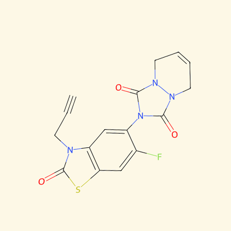 C#CCn1c(=O)sc2cc(F)c(-n3c(=O)n4n(c3=O)CC=CC4)cc21